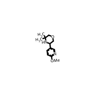 COc1ccc(C2COCC(C)(C)N2)cn1